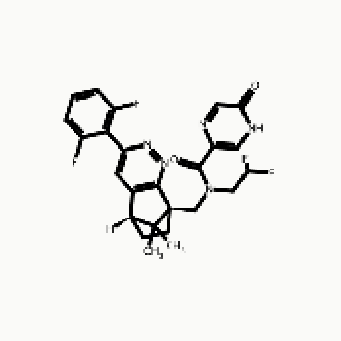 CC1(C)[C@@H]2CC[C@@]1(CN(CC(F)F)C(=O)c1c[nH]c(=O)cn1)c1nnc(-c3c(F)cccc3F)cc12